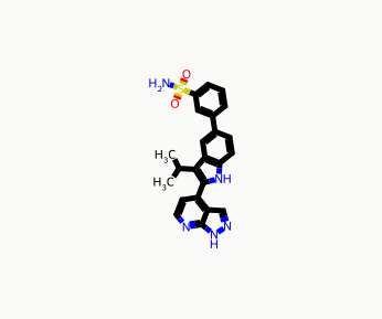 CC(C)c1c(-c2ccnc3[nH]ncc23)[nH]c2ccc(-c3cccc(S(N)(=O)=O)c3)cc12